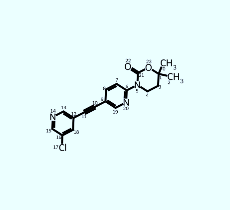 CC1(C)CCN(c2ccc(C#Cc3cncc(Cl)c3)cn2)C(=O)O1